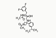 CC(=O)N[C@@H](Cc1cc(F)cc(F)c1)[C@@H](O)CNC1(c2cccc(C(C)C)c2)CN(C(C)=O)C1